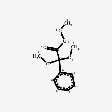 COOC(=O)C(OC)(OC)c1ccccc1